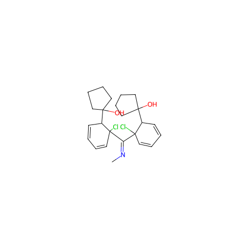 CN=C(C1(Cl)C=CC=CC1C1(O)CCCC1)C1(Cl)C=CC=CC1C1(O)CCCC1